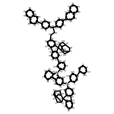 c1ccc(-c2ccc(N(c3ccc4c(c3)C3(c5ccccc5-4)C4CC5CC(C4)CC3C5)c3ccc4c5ccccc5n(-c5cccc(-c6ccc7c(c6)C6(c8cc(CCC(c9ccc(-c%10ccc%11ccccc%11c%10)cc9)c9ccc(-c%10ccc%11ccccc%11c%10)cc9)ccc8-7)C7CC8CC(C7)CC6C8)c5)c4c3)cc2)cc1